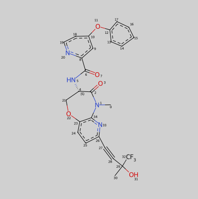 CN1C(=O)[C@@H](NC(=O)c2cc(Oc3ccccc3)ccn2)COc2ccc(C#CC(C)(O)C(F)(F)F)nc21